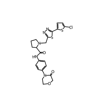 O=C(Nc1ccc(N2CCOCC2=O)cc1)C1CCCN1Cc1nnc(-c2ccc(Cl)s2)s1